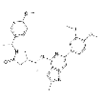 COc1ccc([C@@H](C)N2CC([C@@H](C)Oc3nc(-c4ccc(OC)c(OC)c4)cn4nc(C)cc34)CC2=O)cc1